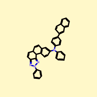 C1=CC2C=Cc3nn(-c4ccccc4)nc3C2c2ccc(N(c3ccccc3)c3ccc(-c4ccc5ccccc5c4)cc3)cc21